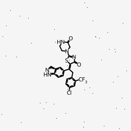 O=C1CN(C2=NC(=O)C(=C(Cc3ccc(Cl)cc3C(F)(F)F)c3ccc4[nH]ncc4c3)S2)CCN1